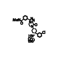 CNC(=O)c1cccc(-c2nnc3n2CCN([C@H]2CC[C@](CNC(=O)OC(C)(C)C)(c4cccc(Cl)c4)CC2)C3=O)c1